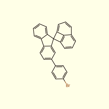 Brc1ccc(-c2ccc3c(c2)C2(c4ccccc4-3)c3cccc4cccc2c34)cc1